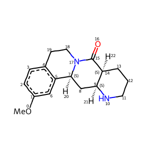 COc1ccc2c(c1)[C@@H]1C[C@@H]3NCCC[C@@H]3C(=O)N1CC2